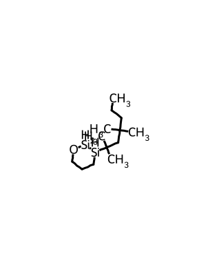 CCCC(C)(C)CC(C)(C)[SiH]1CCCO[SiH2]1